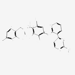 CNc1nccc(-c2cccnc2Oc2cc(F)c(N[S+]([O-])Cc3ccc(Cl)cc3F)c(F)c2F)n1